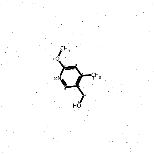 COc1cc(C)c(CO)cn1